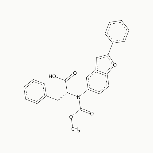 COC(=O)N(c1ccc2oc(-c3ccccc3)cc2c1)[C@H](Cc1ccccc1)C(=O)O